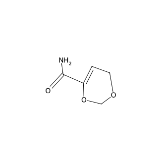 NC(=O)C1=CCOCO1